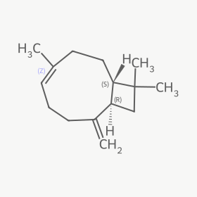 C=C1CC/C=C(/C)CC[C@H]2[C@H]1CC2(C)C